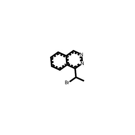 CC(Br)c1nncc2ccccc12